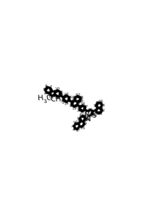 CC1(C)c2ccccc2-c2ccc(-c3ccc(-c4ccc(-c5ccc(-c6cc7c(sc8ccc9ccccc9c87)c7nc8c9ccc%10ccccc%10c9ccc8n67)cc5)c5ccccc45)cc3)cc21